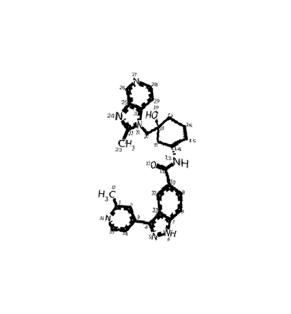 Cc1cc(-c2n[nH]c3ccc(C(=O)N[C@H]4CCC[C@@](O)(Cn5c(C)nc6cnccc65)C4)cc23)ccn1